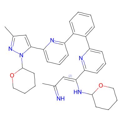 CC(=N)/C=C(\NC1CCCCO1)c1cccc(-c2ccccc2-c2cccc(-c3cc(C)nn3C3CCCCO3)n2)n1